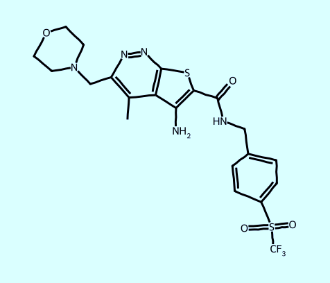 Cc1c(CN2CCOCC2)nnc2sc(C(=O)NCc3ccc(S(=O)(=O)C(F)(F)F)cc3)c(N)c12